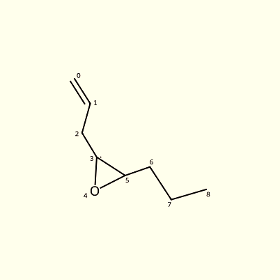 C=CC[C]1OC1CCC